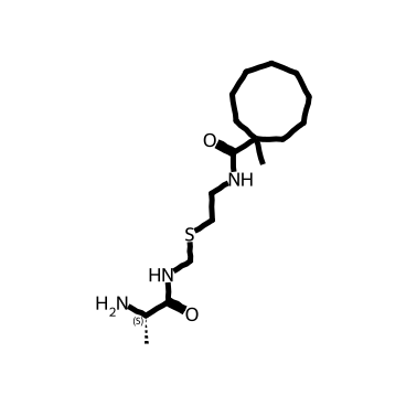 C[C@H](N)C(=O)NCSCCNC(=O)C1(C)CCCCCCCC1